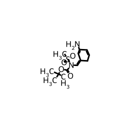 CC(C)(C)OC(=O)N(C=C1C=C(N)C=CC1)S(C)(=O)=O